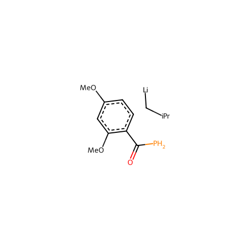 COc1ccc(C(=O)P)c(OC)c1.[Li][CH2]C(C)C